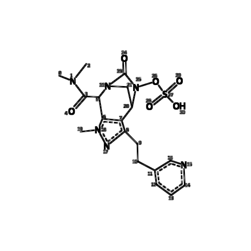 CN(C)C(=O)C1c2c(c(CCc3cccnc3)nn2C)C2CN1C(=O)N2OS(=O)(=O)O